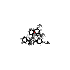 CC(C)(C)c1ccc(O[PH](Oc2ccc(C(C)(C)C)cc2C(C)(C)C)(O[PH](O)(O)c2ccccc2)c2ccccc2)c(C(C)(C)C)c1